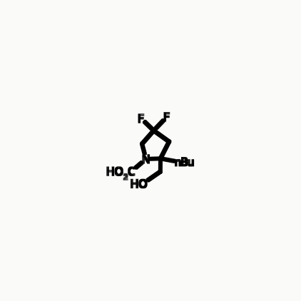 CCCCC1(CO)CC(F)(F)CN1C(=O)O